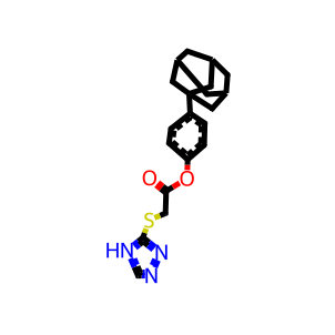 O=C(CSc1nnc[nH]1)Oc1ccc(C23CC4CC(CC(C4)C2)C3)cc1